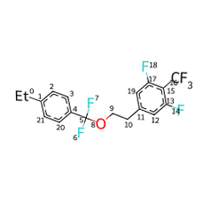 CCc1ccc(C(F)(F)OCCc2cc(F)c(C(F)(F)F)c(F)c2)cc1